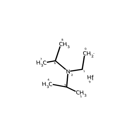 [CH2]CN(C(C)C)C(C)C.[Hf]